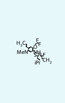 C=C/C(F)=N\C(C=CC(C)C)SNc1cc(NC)c(/C=C/C)cc1OCC(F)F